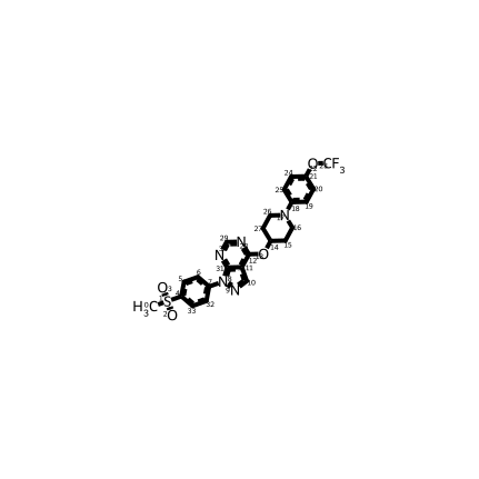 CS(=O)(=O)c1ccc(-n2ncc3c(OC4CCN(c5ccc(OC(F)(F)F)cc5)CC4)ncnc32)cc1